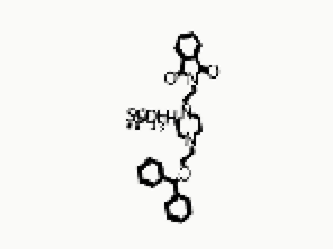 CS(=O)(=O)O.CS(=O)(=O)O.O=C1c2ccccc2C(=O)N1CCN1CCN(CCOC(c2ccccc2)c2ccccc2)CC1